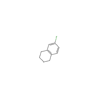 Fc1ccc2c(c1)CC[C]C2